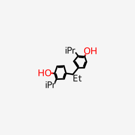 CCC(c1ccc(O)c(C(C)C)c1)c1ccc(O)c(C(C)C)c1